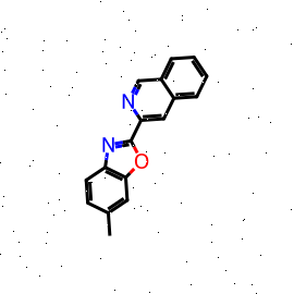 Cc1ccc2nc(-c3cc4ccccc4cn3)oc2c1